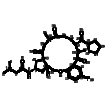 CN(C)CC(=O)N[C@H]1C[C@H]2COc3ccc(F)cc3C(=O)N(C)[C@H](C(=O)N3CCCC3)CCC(=O)N(C)CC(=O)N2C1